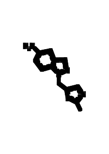 Cc1ncc(Cn2ncc3cc(N)ccc32)s1